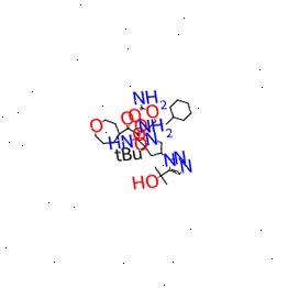 CC(C)(O)c1cnnn1[C@@H]1CN(C(=O)[C@@H](CC2CCCCC2)OC(N)=O)[C@](C(=O)N[C@]2(C(=O)C(N)=O)CCCOCC2)(C(C)(C)C)C1